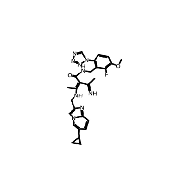 COc1ccc(-n2cnnn2)c(CNC(=O)/C(C(C)=N)=C(\C)NCc2cn3cc(C4CC4)ccc3n2)c1F